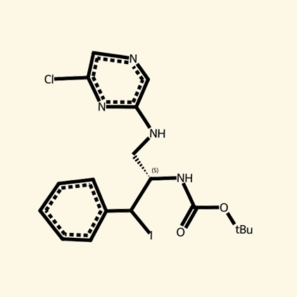 CC(C)(C)OC(=O)N[C@@H](CNc1cncc(Cl)n1)C(I)c1ccccc1